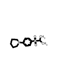 CC(C)S(=O)(=O)c1ccc(N2CCCCC2)cc1